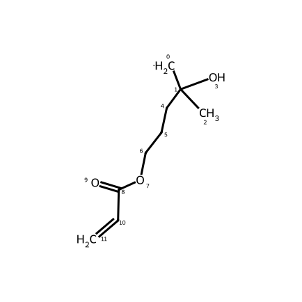 [CH2]C(C)(O)CCCOC(=O)C=C